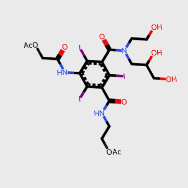 CC(=O)OCCNC(=O)c1c(I)c(NC(=O)COC(C)=O)c(I)c(C(=O)N(CCO)CC(O)CO)c1I